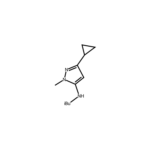 CCC(C)Nc1cc(C2CC2)nn1C